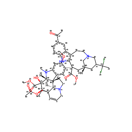 CC[C@]12C=CCN3CC[C@@]4(c5cc([C@@]6(C(=O)OC)C[C@H]7CC(C(C)(F)F)CN(CCc8c6[nH]c6ccc(C(C)=O)cc86)C7)c(OC)cc5N(C)[C@H]4[C@@](O)(C(=O)OC)[C@@H]1OC(C)=O)[C@@H]32